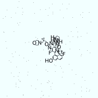 CCc1c(F)ccc2cc(O)cc(-c3nc4c5c(nc(OCC6(CN7CCOCC7)CC6)nc5c3F)N3C[C@@H]5CC[C@@H](N5)[C@H]3CO4)c12